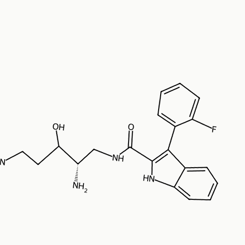 NCCC(O)[C@@H](N)CNC(=O)c1[nH]c2ccccc2c1-c1ccccc1F